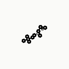 c1ccc(-c2c3ccccc3c(-c3ccc4cc(-n5c6ccccc6c6cc(-c7cccc8c7oc7ccccc78)ccc65)ccc4c3)c3ccccc23)cc1